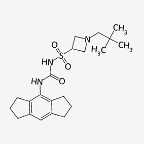 CC(C)(C)CN1CC(S(=O)(=O)NC(=O)Nc2c3c(cc4c2CCC4)CCC3)C1